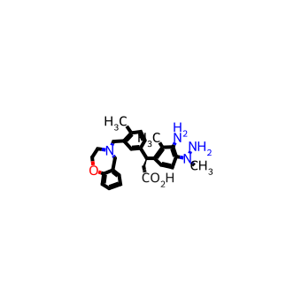 Cc1ccc([C@H](CC(=O)O)c2ccc(N(C)N)c(N)c2C)cc1CN1CCOc2ccccc2C1